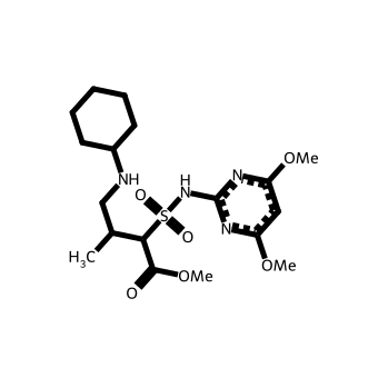 COC(=O)C(C(C)CNC1CCCCC1)S(=O)(=O)Nc1nc(OC)cc(OC)n1